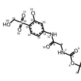 CC(C)(C)OC(=O)NCC(=O)Nc1ccc(S(=O)(=O)CO)c(Cl)c1